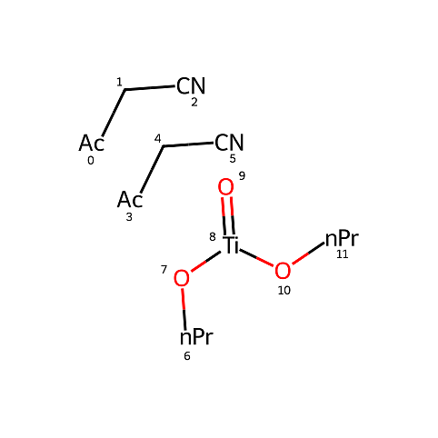 CC(=O)CC#N.CC(=O)CC#N.CCC[O][Ti](=[O])[O]CCC